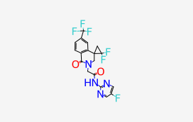 O=C(CN1CC2(CC2(F)F)c2cc(C(F)(F)F)ccc2C1=O)Nc1ncc(F)cn1